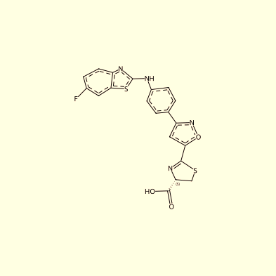 O=C(O)[C@H]1CSC(c2cc(-c3ccc(Nc4nc5ccc(F)cc5s4)cc3)no2)=N1